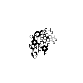 CC(Nc1cc(F)cc(F)c1)c1cc(C(=O)N2CCC(CN(C)C(=O)OC(C)(C)C)CC2)cc2ncc(N3CCOCC3)nc12